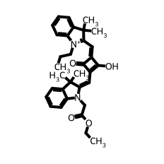 CCC[N+]1=C(C=C2C(=O)C(C=C3N(CC(=O)OCC)c4ccccc4C3(C)C)=C2O)C(C)(C)c2ccccc21